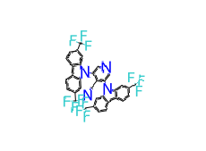 N#Cc1c(-n2c3cc(C(F)(F)F)ccc3c3ccc(C(F)(F)F)cc32)cncc1-n1c2cc(C(F)(F)F)ccc2c2ccc(C(F)(F)F)cc21